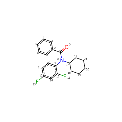 O=C(c1ccccc1)N(c1ccc(F)cc1F)C1CCCCC1